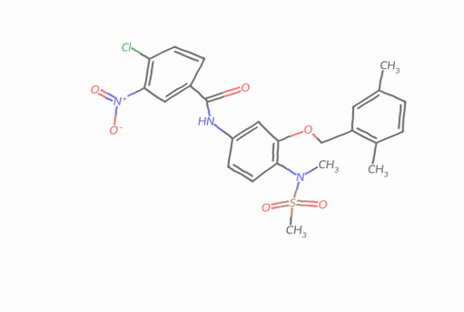 Cc1ccc(C)c(COc2cc(NC(=O)c3ccc(Cl)c([N+](=O)[O-])c3)ccc2N(C)S(C)(=O)=O)c1